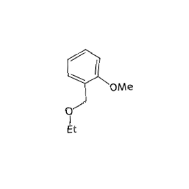 [CH2]COCc1ccccc1OC